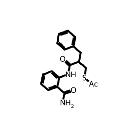 CC(=O)SCC(Cc1ccccc1)C(=O)Nc1ccccc1C(N)=O